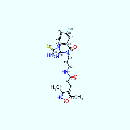 Cc1noc(C)c1CCC(=O)NCCCn1c(=O)c2cc(F)ccc2n2c(=S)[nH]nc12